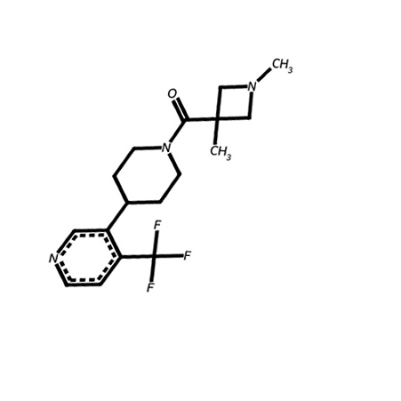 CN1CC(C)(C(=O)N2CCC(c3cnccc3C(F)(F)F)CC2)C1